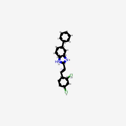 Clc1ccc(/C=C/c2nc3cc(-c4ccccc4)ccc3[nH]2)c(Cl)c1